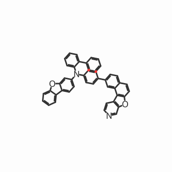 c1ccc(-c2ccccc2N(c2ccc(-c3ccc4ccc5oc6cnccc6c5c4c3)cc2)c2ccc3c(c2)oc2ccccc23)cc1